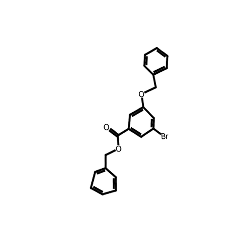 O=C(OCc1ccccc1)c1cc(Br)cc(OCc2ccccc2)c1